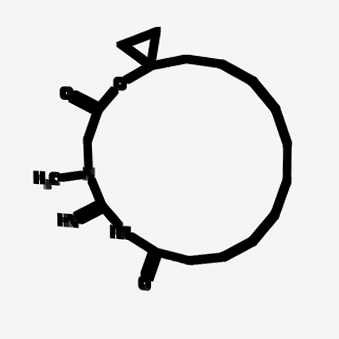 CN1CC(=O)OC2(CCCCCCCCCCC(=O)NC1=N)CC2